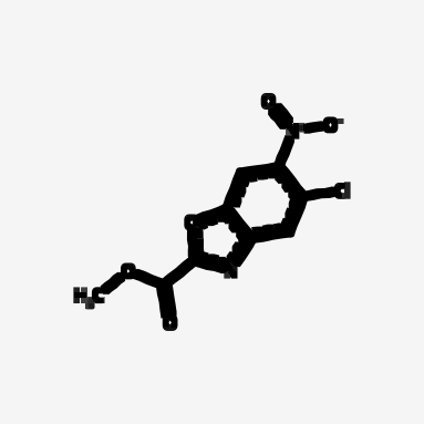 COC(=O)c1nc2cc(Cl)c([N+](=O)[O-])cc2o1